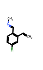 C=Cc1cc(Cl)ccc1C=NC